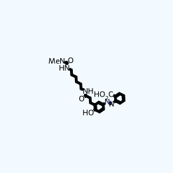 CNC(=O)NCCCCCCNC(=O)CCc1cc(/N=N/c2ccccc2C(=O)O)ccc1O